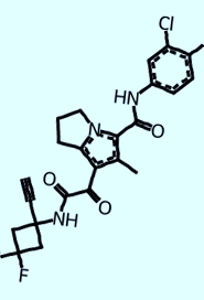 C#CC1(NC(=O)C(=O)c2c(C)c(C(=O)Nc3ccc(F)c(Cl)c3)n3c2CCC3)CC(F)(F)C1